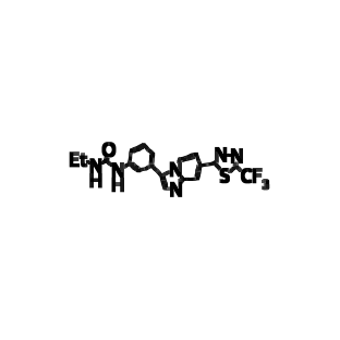 CCNC(=O)Nc1cccc(-c2cnc3cc(-c4nnc(C(F)(F)F)s4)ccn23)c1